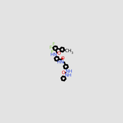 Cc1ccc(-c2cc(F)c(F)c(F)c2C(=O)Nc2cccc(C(=O)NCc3ccc(NC(=O)Nc4ccccc4)cc3)c2)cc1